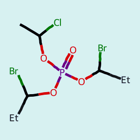 CCC(Br)OP(=O)(OC(C)Cl)OC(Br)CC